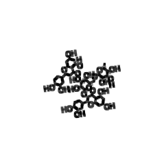 C[C@@H]1O[C@@H](OC[C@H]2O[C@@H](Oc3c(-c4ccc(O)c(O)c4)oc4cc(O)cc(O)c4c3=O)[C@H](O)[C@@H](O)[C@@H]2O)[C@H](O)[C@H](O)[C@H]1O.O=c1cc(-c2ccc(O)c(O)c2)oc2cc(O)cc(O)c12